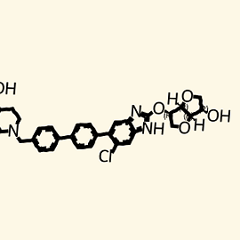 OCC1CCN(Cc2ccc(-c3ccc(-c4cc5nc(O[C@@H]6CO[C@H]7[C@@H]6OC[C@H]7O)[nH]c5cc4Cl)cc3)cc2)CC1